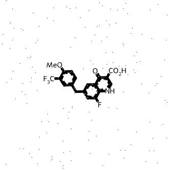 COc1ccc(Cc2cc(F)c3[nH]cc(C(=O)O)c(=O)c3c2)cc1C(F)(F)F